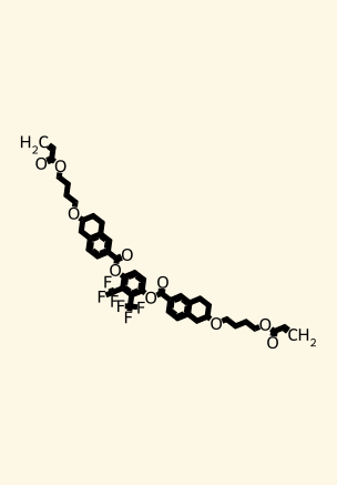 C=CC(=O)OCCCCOC1CCc2cc(C(=O)Oc3ccc(OC(=O)c4ccc5c(c4)CCC(OCCCCOC(=O)C=C)C5)c(C(F)(F)F)c3C(F)(F)F)ccc2C1